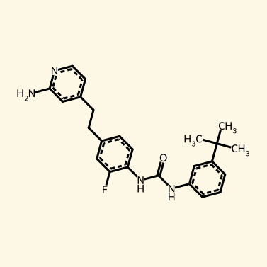 CC(C)(C)c1cccc(NC(=O)Nc2ccc(CCc3ccnc(N)c3)cc2F)c1